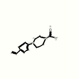 C=Cc1ccc(N2CCN(C(=O)O)CC2)cc1